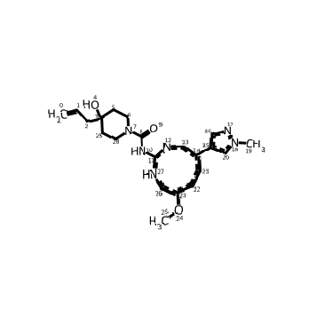 C=CCC1(O)CCN(C(=O)Nc2ncc(-c3cnn(C)c3)ccc(OC)c[nH]2)CC1